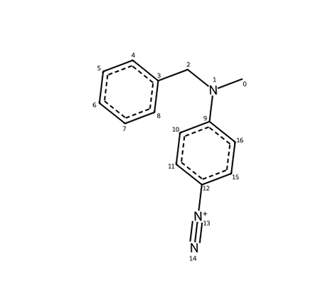 CN(Cc1ccccc1)c1ccc([N+]#N)cc1